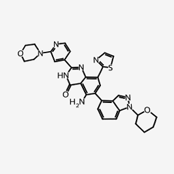 Nc1c(-c2cccc3c2cnn3C2CCCCO2)cc(-c2nccs2)c2nc(-c3ccnc(N4CCOCC4)c3)[nH]c(=O)c12